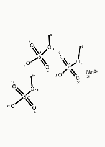 COS(=O)(=O)[O-].COS(=O)(=O)[O-].COS(=O)(=O)[O-].[Mn+3]